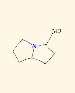 O=CC1CCC2CCCN12